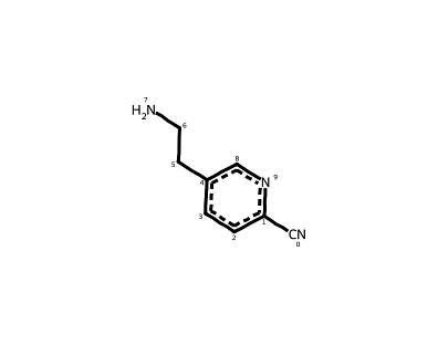 N#Cc1ccc(CCN)cn1